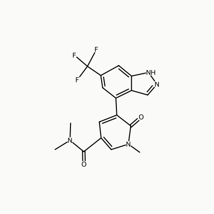 CN(C)C(=O)c1cc(-c2cc(C(F)(F)F)cc3[nH]ncc23)c(=O)n(C)c1